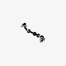 CC(NC(=O)CCCN1CCC(C#Cc2ccc(C3CCN(C4=Nn5c(nnc5C(F)(F)F)CC4)CC3)cc2)CC1)C(C)(C)C